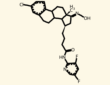 C[C@]12CCC3c4ccc(Cl)cc4CCC3C1[C@H](CCCC(=O)Nc1ncc(F)cc1F)C/C2=N\O